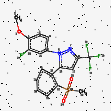 COc1ccc(-n2nc(C(F)(F)F)cc2-c2ccccc2S(C)(=O)=O)cc1F